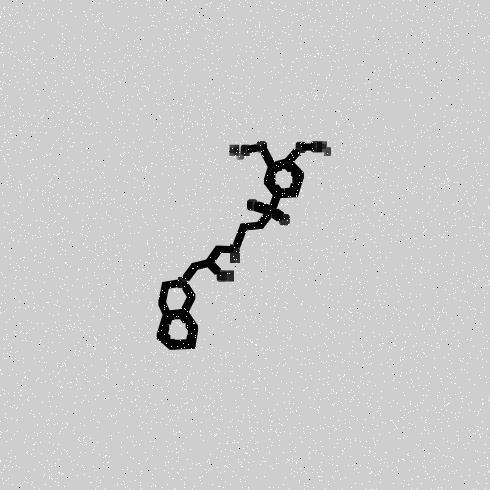 COc1ccc(S(=O)(=O)CCNCC(O)CN2CCc3ccccc3C2)cc1OC